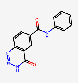 O=C(Nc1ccccc1)c1ccc2nn[nH]c(=O)c2c1